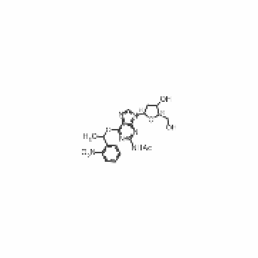 CC(=O)Nc1nc(OC(C)c2ccccc2[N+](=O)[O-])c2ncn([C@H]3CC(O)[C@@H](CO)O3)c2n1